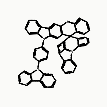 c1ccc2c(c1)Sc1cc3c4ccccc4n(-c4ccc(-n5c6ccccc6c6ccccc65)cc4)c3cc1C21c2ccccc2-n2c3ccccc3c3cccc1c32